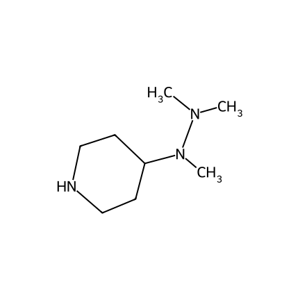 CN(C)N(C)C1CCNCC1